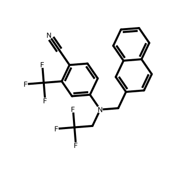 N#Cc1ccc(N(Cc2ccc3ccccc3c2)CC(F)(F)F)cc1C(F)(F)F